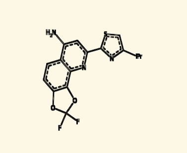 CC(C)c1csc(-c2cc(N)c3ccc4c(c3n2)OC(F)(F)O4)n1